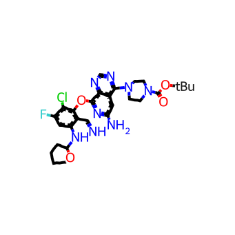 CC(C)(C)OC(=O)N1CCN(c2ncnc3c(Oc4c(Cl)c(F)cc(NC5CCCCO5)c4C=N)nc(N)cc23)CC1